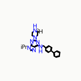 [2H]C1CN(c2nc(NCc3ccc(-c4ccccc4)cc3)c3ncn(C(C)C)c3n2)CCN1